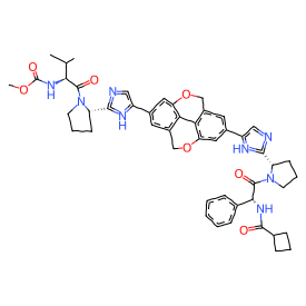 COC(=O)N[C@H](C(=O)N1CCC[C@H]1c1ncc(-c2cc3c4c(c2)OCc2cc(-c5cnc([C@@H]6CCCN6C(=O)[C@H](NC(=O)C6CCC6)c6ccccc6)[nH]5)cc(c2-4)OC3)[nH]1)C(C)C